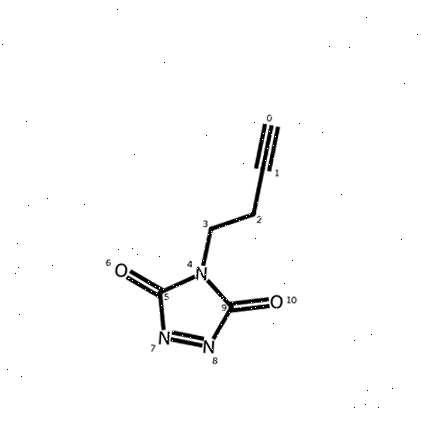 C#CCCN1C(=O)N=NC1=O